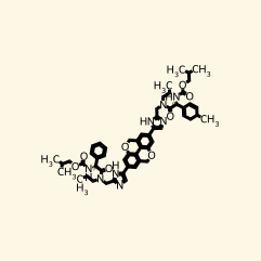 CCCN(Cc1ncc(-c2cc3c4c(c2)OCc2cc(-c5cnc(CN(CCC)C(=O)[C@H](NC(=O)OCC(C)C)c6ccccc6)[nH]5)cc(c2-4)OC3)[nH]1)C(=O)[C@H](NC(=O)OCC(C)C)C1=CCC(C)C=C1